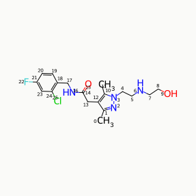 Cc1nn(CCNCCO)c(C)c1CC(=O)NCc1ccc(F)cc1Cl